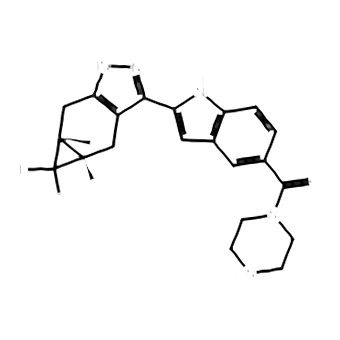 C[C@@]12Cc3[nH]nc(-c4cc5cc(C(=O)N6CCNCC6)ccc5[nH]4)c3C[C@@H]1C2(F)F